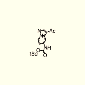 CC(=O)c1cnn2ccc(NC(=O)OC(C)(C)C)cc12